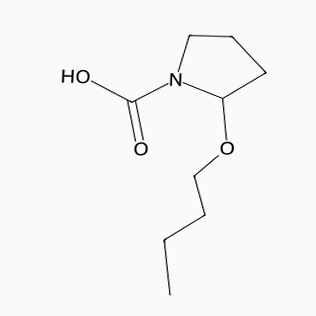 CCCCOC1CCCN1C(=O)O